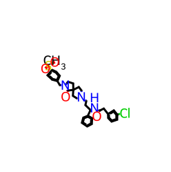 CS(=O)(=O)c1ccc(CN2CCC3(CCN(CCC(NC(=O)Cc4cccc(Cl)c4)c4ccccc4)CC3)C2=O)cc1